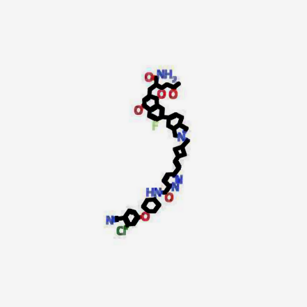 CC(=O)CCC(CC1=CC(=O)c2cc(F)c(C3=CCC4CN(CC5CC(/C=C/c6ccc(C(=O)N[C@H]7CC[C@H](Oc8ccc(C#N)c(Cl)c8)CC7)nn6)C5)CC4C3)cc2C1=O)C(N)=O